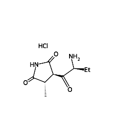 CC[C@H](N)C(=O)[C@@H]1C(=O)NC(=O)[C@H]1C.Cl